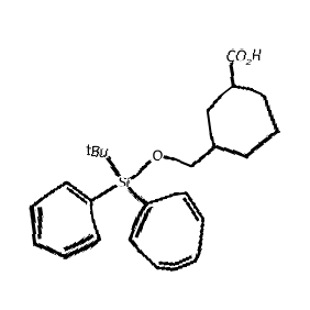 CC(C)(C)[Si](OCC1CCCC(C(=O)O)C1)(c1ccccc1)c1ccccc1